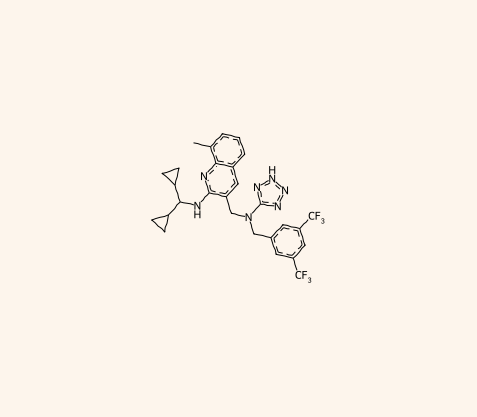 Cc1cccc2cc(CN(Cc3cc(C(F)(F)F)cc(C(F)(F)F)c3)c3nn[nH]n3)c(NC(C3CC3)C3CC3)nc12